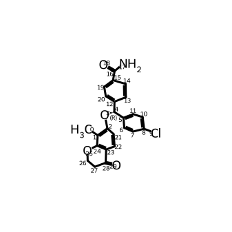 Cc1c(O[C@@H](c2ccc(Cl)cc2)c2ccc(C(N)=O)cc2)ccc2c1OCCC2=O